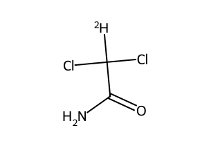 [2H]C(Cl)(Cl)C(N)=O